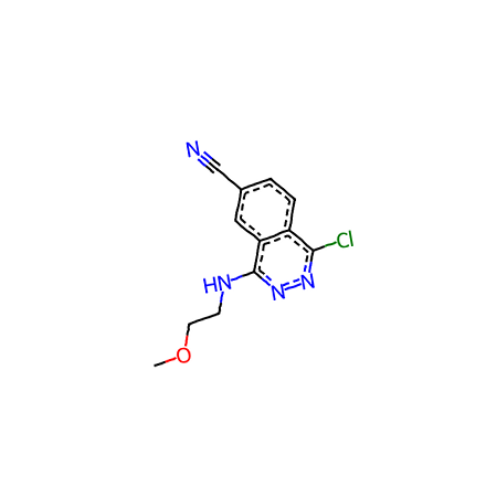 COCCNc1nnc(Cl)c2ccc(C#N)cc12